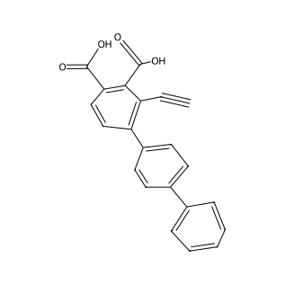 C#Cc1c(-c2ccc(-c3ccccc3)cc2)ccc(C(=O)O)c1C(=O)O